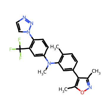 Cc1ccc(-c2c(C)noc2C)cc1N(C)c1ccc(-n2ccnn2)c(C(F)(F)F)c1